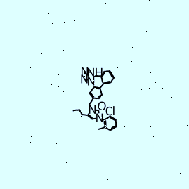 CCCc1cn(-c2c(C)cccc2Cl)c(=O)n1Cc1ccc(-c2ccccc2-c2nnn[nH]2)cc1